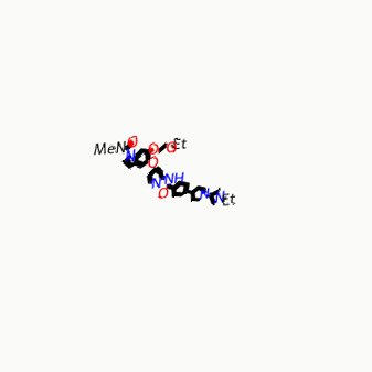 CCOCCOc1cc2c(ccn2C(=O)NC)cc1Oc1ccnc(NC(=O)c2ccc(C3CCN(C4CN(CC)C4)CC3)cc2)c1